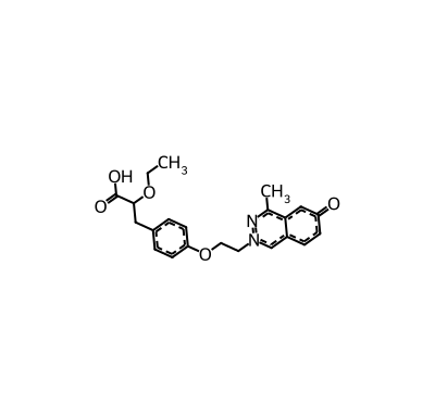 CCOC(Cc1ccc(OCCn2cc3ccc(=O)cc-3c(C)n2)cc1)C(=O)O